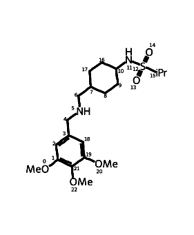 COc1cc(CNCC2CCC(NS(=O)(=O)C(C)C)CC2)cc(OC)c1OC